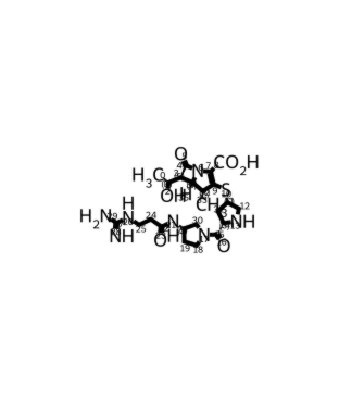 C[C@@H](O)[C@H]1C(=O)N2C(C(=O)O)=C(S[C@@H]3CN[C@H](C(=O)N4CC[C@H](NC(=O)CCNC(=N)N)C4)C3)[C@H](C)[C@H]12